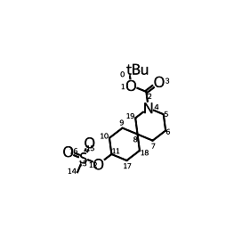 CC(C)(C)OC(=O)N1CCCC2(CCC(OS(C)(=O)=O)CC2)C1